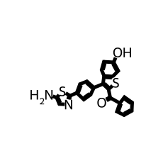 Nc1cnc(-c2ccc(-c3c(C(=O)c4ccccc4)sc4cc(O)ccc34)cc2)s1